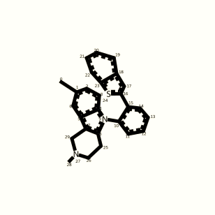 Cc1ccc2c(c1)c1c(n2-c2ccccc2-c2cc3ccccc3s2)CCN(C)C1